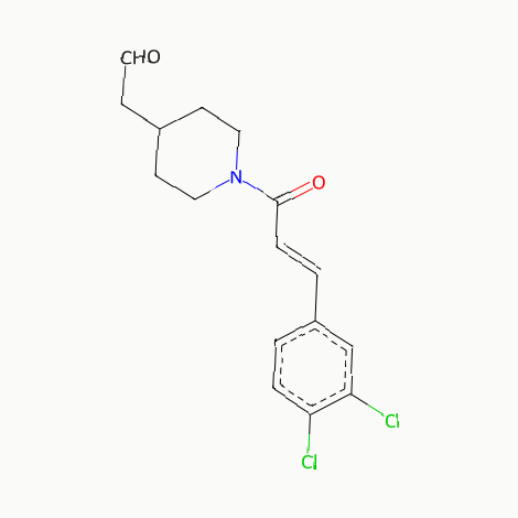 O=CCC1CCN(C(=O)C=Cc2ccc(Cl)c(Cl)c2)CC1